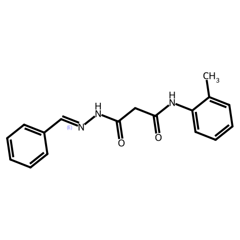 Cc1ccccc1NC(=O)CC(=O)N/N=C/c1ccccc1